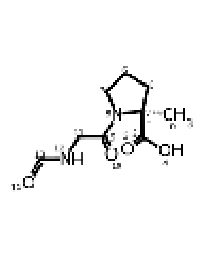 C[C@@]1(C(=O)O)CCCN1C(=O)CNC=O